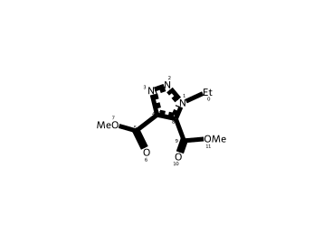 [CH2]Cn1nnc(C(=O)OC)c1C(=O)OC